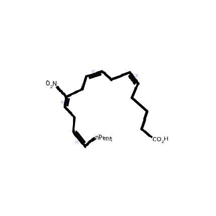 CCCCC/C=C\C/C=C(\C/C=C\C/C=C\CCCC(=O)O)[N+](=O)[O-]